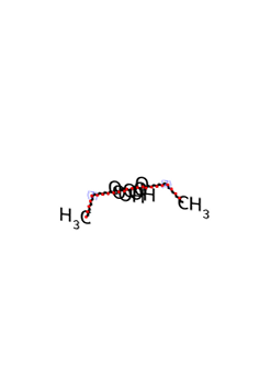 CCCCCCCC/C=C\CCCCCCCC(=O)OCC(O)COCC(O)COC(=O)CCCCCCC/C=C\CCCCCCCC